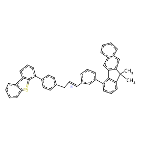 CC1(C)c2cc3ccccc3cc2-c2c(-c3cccc(/C=C/Cc4ccc(-c5cccc6c5sc5ccccc56)cc4)c3)cccc21